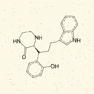 O=C1NCCN[C@H]1C(CCc1c[nH]c2ccccc12)c1ccccc1O